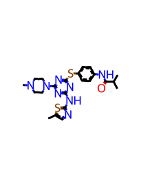 Cc1cnc(Nc2nc(Sc3ccc(NC(=O)C(C)C)cc3)nc(N3CCN(C)CC3)n2)s1